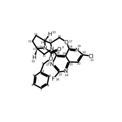 O=C(OCc1ccccc1)N1[C@H]2CC[C@@H]1C1COc3nc(Cl)cc4nc(F)nc(c34)N1C2